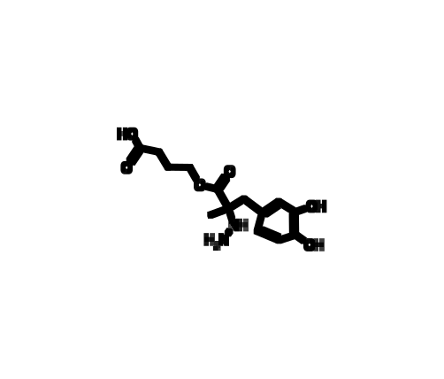 CC(Cc1ccc(O)c(O)c1)(NN)C(=O)OCCCC(=O)O